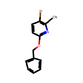 N#Cc1nc(OCc2ccccc2)ccc1Br